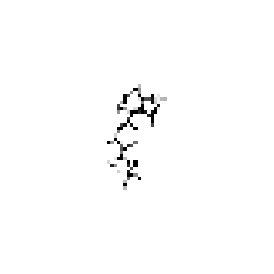 Cc1c[nH]c2ncnc(C3=CC(C)N(C(=O)OC(C)(C)C)CC3)c12